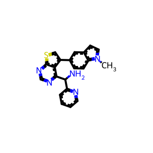 Cn1ccc2cc(-c3csc4ncnc(C(N)c5ccccn5)c34)ccc21